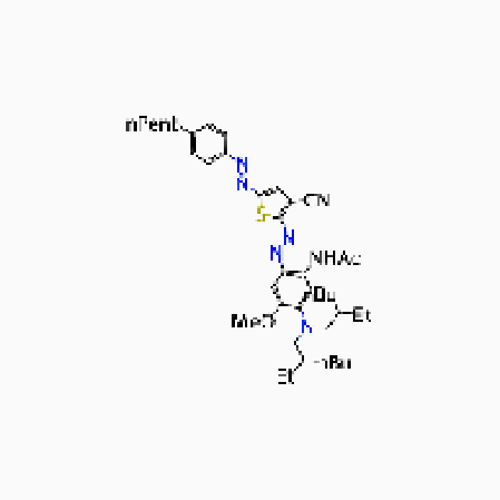 CCCCCc1ccc(N=Nc2cc(C#N)c(/N=N/c3cc(OC)c(N(CC(CC)CCCC)CC(CC)CCCC)cc3NC(C)=O)s2)cc1